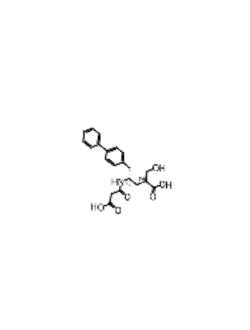 O=C(O)CC(=O)N[C@H](Cc1ccc(-c2ccccc2)cc1)C[C@@H](CO)C(=O)O